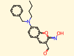 CCCCN(Cc1ccccc1)c1ccc2cc(C=O)c(=NO)oc2c1